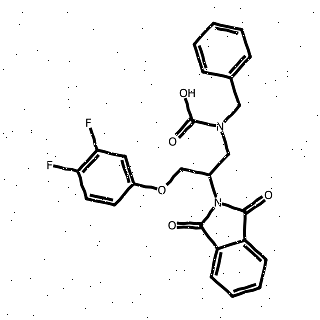 O=C(O)N(Cc1ccccc1)CC(COc1ccc(F)c(F)c1)N1C(=O)c2ccccc2C1=O